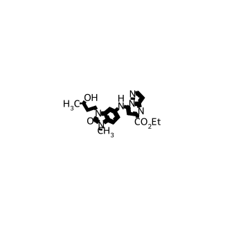 CCOC(=O)c1cc(Nc2ccc3c(c2)n(CC[C@@H](C)O)c(=O)n3C)n2nccc2n1